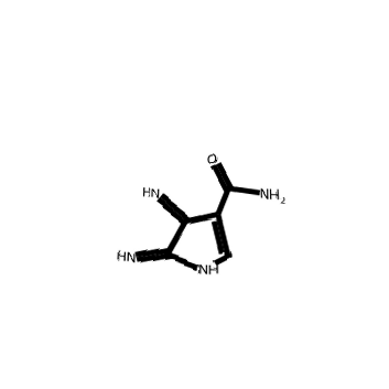 N=C1NC=C(C(N)=O)C1=N